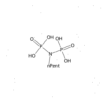 CCCCCN(P(=O)(O)O)P(=O)(O)O